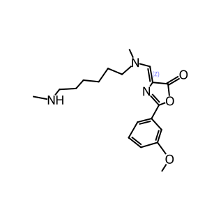 CNCCCCCCN(C)/C=C1\N=C(c2cccc(OC)c2)OC1=O